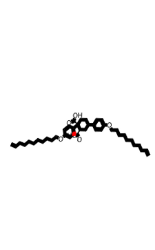 C=CCCCCCCCCCOc1ccc(C2CC[C@@](C(=O)O)(c3ccc(OCCCCCCCCCC=C)cc3)[C@H](C(=O)O)C2)cc1